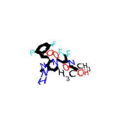 CC(C)(O)c1nc(C(F)F)c(C(=O)N2CCc3[nH]cnc3[C@H]2c2cc3c(F)ccc(F)c3o2)o1